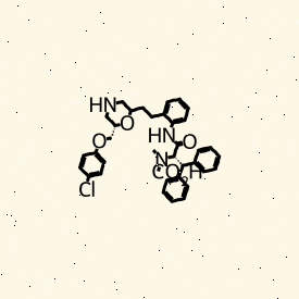 CN(C(=O)O)[C@H](C(=O)Nc1ccccc1CCC1CNC[C@@H](COc2ccc(Cl)cc2)O1)C(c1ccccc1)c1ccccc1